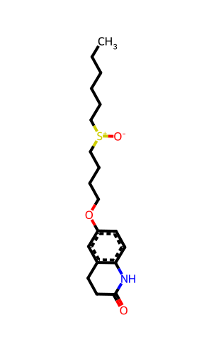 CCCCCC[S+]([O-])CCCCOc1ccc2c(c1)CCC(=O)N2